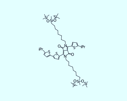 CC(C)c1ccc(C2=C3C(=O)N(CCCCCCCC[Si](C)(O[Si](C)(C)C)O[Si](C)(C)C)C(c4ccc(-c5ccc(C(C)C)s5)s4)=C3C(=O)N2CCCCCCCC[Si](C)(O[Si](C)(C)C)O[Si](C)(C)C)s1